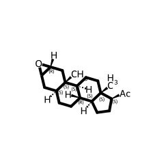 CC(=O)[C@H]1CC[C@H]2[C@@H]3CC[C@H]4CC5O[C@@H]5C[C@]4(C)[C@H]3CC[C@]12C